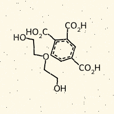 O=C(O)c1ccc(C(=O)O)c(C(=O)O)c1.OCCOCCO